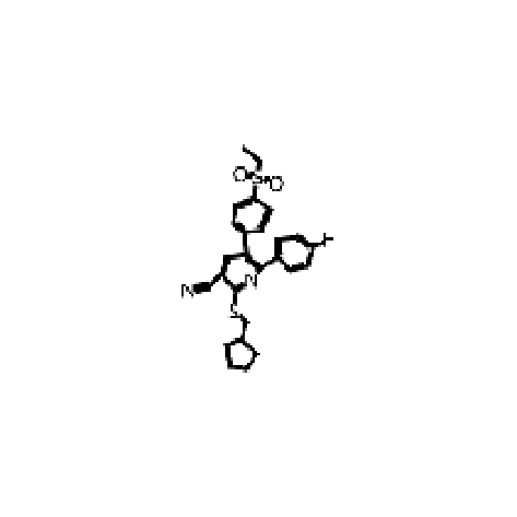 CCS(=O)(=O)c1ccc(-c2cc(C#N)c(SCC3CCCC3)nc2-c2ccc(F)cc2)cc1